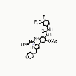 COc1cc(-c2cc(CN3CCOCC3)[nH]c2/C(N)=N\C=N)ccc1NC(=O)Nc1ccc(F)c(C(F)(F)F)c1